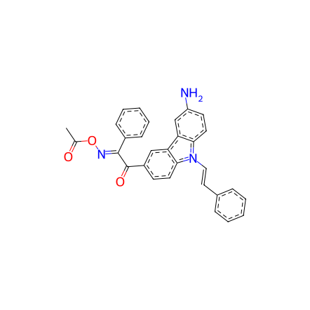 CC(=O)O/N=C(/C(=O)c1ccc2c(c1)c1cc(N)ccc1n2/C=C/c1ccccc1)c1ccccc1